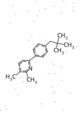 Cc1ccc(-c2ccc(CC(C)(C)C)cc2)nc1C